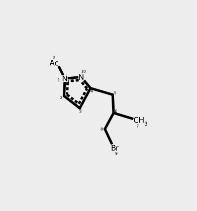 CC(=O)n1ccc(CC(C)CBr)n1